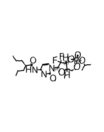 CCCC(CCC)C(=O)Nc1ccn([C@@H]2O[C@@H]3CO[P@@](=O)(OC(C)C)O[C@H]3C2(F)F)c(=O)n1